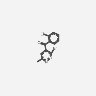 Cc1cc(C(=O)c2ccccc2Cl)c(Br)nn1